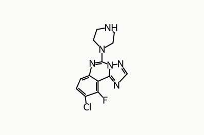 Fc1c(Cl)ccc2nc(N3CCNCC3)n3ncnc3c12